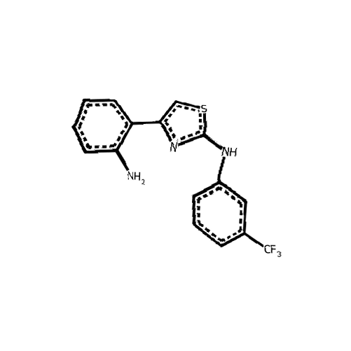 Nc1ccccc1-c1csc(Nc2cccc(C(F)(F)F)c2)n1